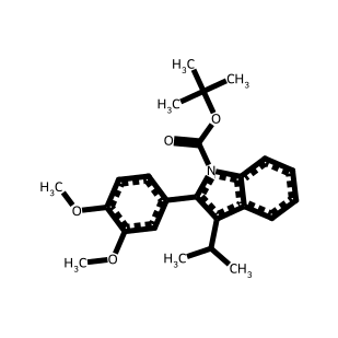 COc1ccc(-c2c(C(C)C)c3ccccc3n2C(=O)OC(C)(C)C)cc1OC